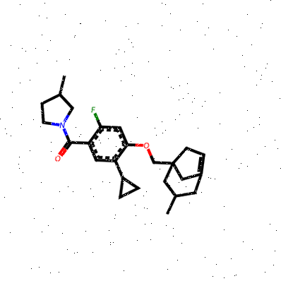 CC1CCN(C(=O)c2cc(C3CC3)c(OCC34CC=C(CC(C)C3)C4)cc2F)C1